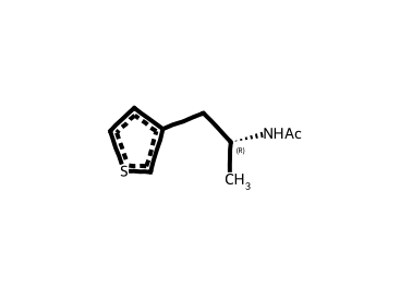 CC(=O)N[C@H](C)Cc1ccsc1